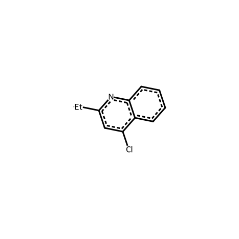 C[CH]c1cc(Cl)c2ccccc2n1